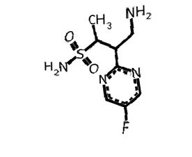 CC(C(CN)c1ncc(F)cn1)S(N)(=O)=O